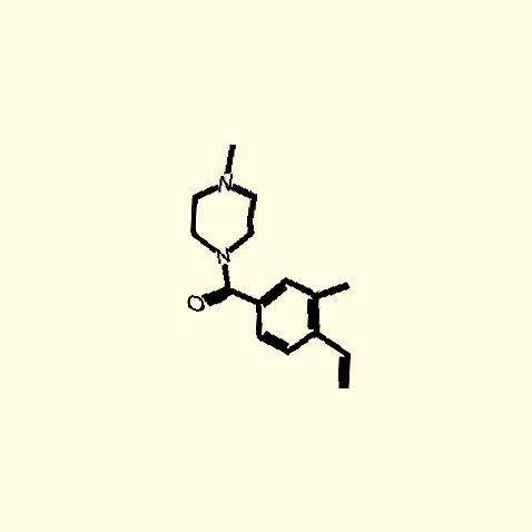 C=Cc1ccc(C(=O)N2CCN(C)CC2)cc1C